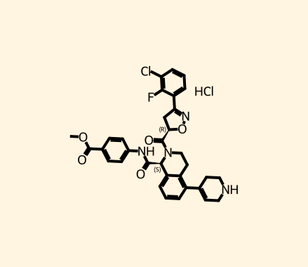 COC(=O)c1ccc(NC(=O)[C@@H]2c3cccc(C4=CCNCC4)c3CCN2C(=O)[C@H]2CC(c3cccc(Cl)c3F)=NO2)cc1.Cl